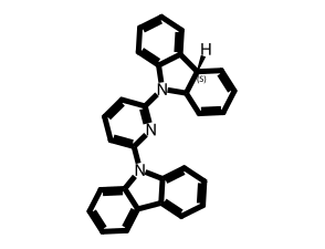 C1=CC2[C@@H](C=C1)c1ccccc1N2c1cccc(-n2c3ccccc3c3ccccc32)n1